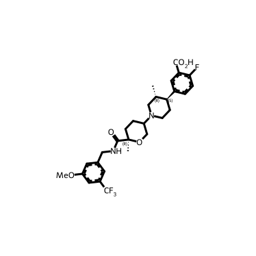 COc1cc(CNC(=O)[C@@]2(C)CCC(N3CC[C@H](c4ccc(F)c(C(=O)O)c4)[C@@H](C)C3)CO2)cc(C(F)(F)F)c1